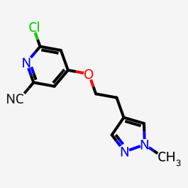 Cn1cc(CCOc2cc(Cl)nc(C#N)c2)cn1